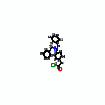 O=C(Cl)Cc1ccc(N(Cc2ccccc2)Cc2ccccc2)cc1